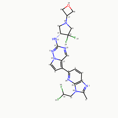 Cc1nc2ccc(-c3ccn4nc(N[C@@H]5CN(C6COC6)CC5(F)F)ncc34)nc2n1CC(F)F